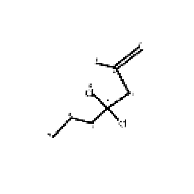 C=C(C)CC(Cl)(Cl)CCC